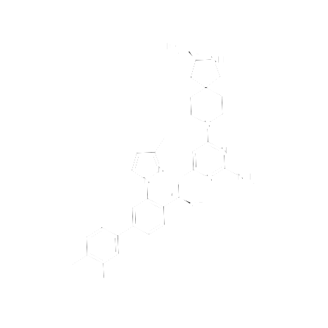 Cc1ccn(-c2cc(-c3ccc(C)c(F)c3)ccc2[C@@H](Oc2cc(N3CCC4(CC3)CN[C@H](C(=O)O)C4)nc(N)n2)C(F)(F)F)n1